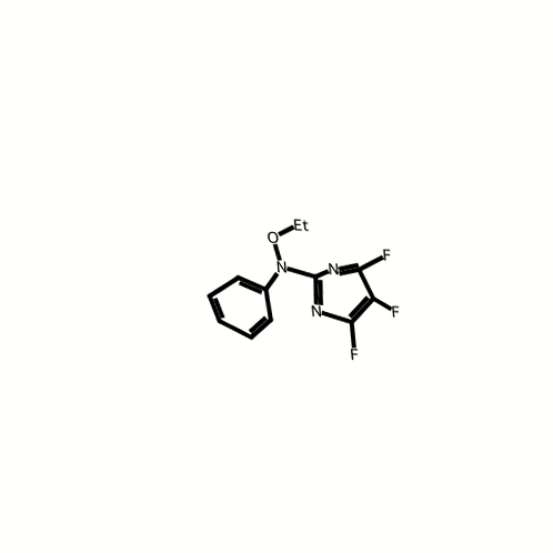 CCON(c1ccccc1)c1nc(F)c(F)c(F)n1